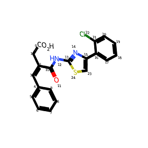 O=C(O)CC(=Cc1ccccc1)C(=O)Nc1nc(-c2ccccc2Cl)cs1